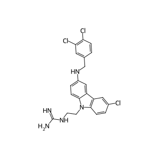 N=C(N)NCCn1c2ccc(Cl)cc2c2cc(NCc3ccc(Cl)c(Cl)c3)ccc21